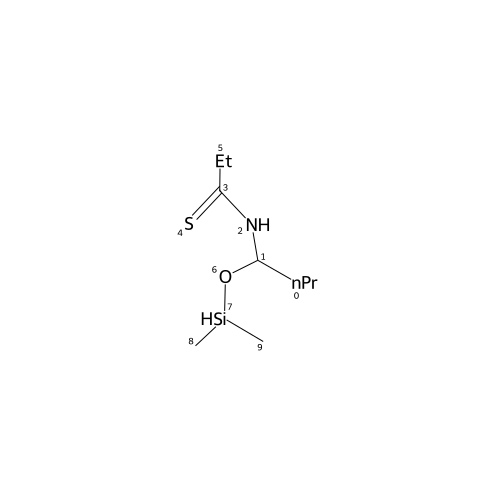 CCCC(NC(=S)CC)O[SiH](C)C